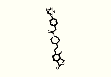 O=C1OCc2c1ccc(CCC1CCN(C(=O)Cc3ccc(-n4cnnn4)cc3)CC1)c2F